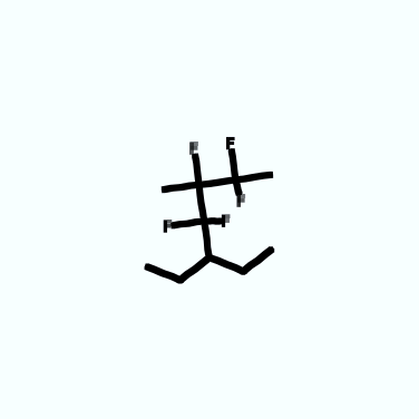 CCC(CC)C(F)(F)C(C)(F)C(C)(F)F